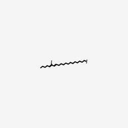 CCCCC=C(I)C=CCCCCCCCCCCCCI